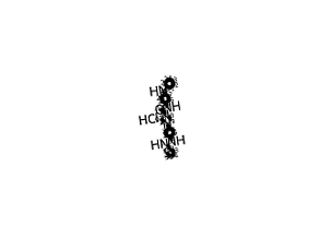 Cl.N=C(Nc1ccc(N2CCN(C(=O)Nc3ccc(Nc4ccccc4)cc3)CC2)cc1)c1cccs1